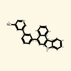 N#Cc1cncc(-c2cccc(-c3cc4oc5ccccc5c4c4ccccc34)c2)c1